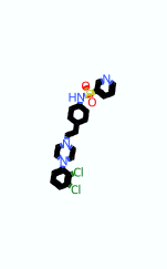 O=S(=O)(NC1CCC(CCN2CCN(c3cccc(Cl)c3Cl)CC2)CC1)c1cccnc1